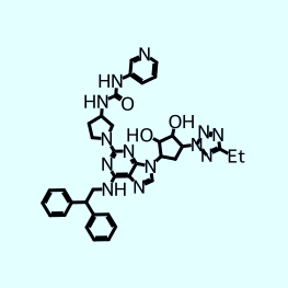 CCc1nnn(C2CC(n3cnc4c(NCC(c5ccccc5)c5ccccc5)nc(N5CCC(NC(=O)Nc6cccnc6)C5)nc43)C(O)C2O)n1